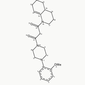 COc1ccccc1N1CCN(C(=O)CC(=O)N2CCCC3CCCC=C32)CC1